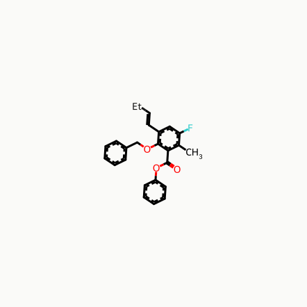 CC/C=C/c1cc(F)c(C)c(C(=O)Oc2ccccc2)c1OCc1ccccc1